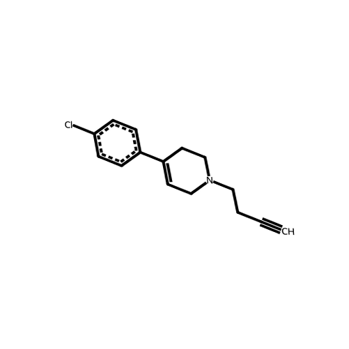 C#CCCN1CC=C(c2ccc(Cl)cc2)CC1